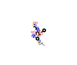 Cc1nc2ccc(-n3cnnc3[C@@H]3O[C@@H]4COC(c5ccccc5)O[C@@H]4[C@H](n4cc(-c5csc(O)n5)nn4)[C@H]3O)cc2s1